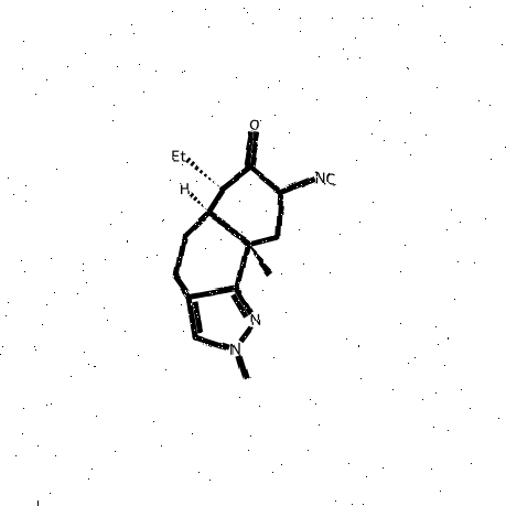 [C-]#[N+]C1C[C@]2(C)c3nn(C)cc3CC[C@H]2[C@H](CC)C1=O